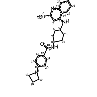 CC(C)(C)c1cc(NC2CCC(NC(=O)c3ccc(N4CCC4)cc3)CC2)c2ccccc2n1